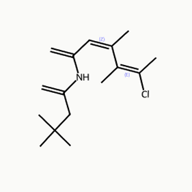 C=C(/C=C(C)\C(C)=C(/C)Cl)NC(=C)CC(C)(C)C